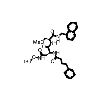 COC[C@H](NC(=O)[C@H](CC(=O)NOC(C)(C)C)NC(=O)CCCc1ccccc1)C(=O)NCc1cccc2ccccc12